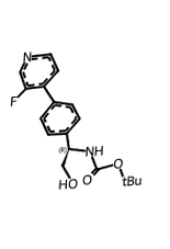 CC(C)(C)OC(=O)N[C@@H](CO)c1ccc(-c2ccncc2F)cc1